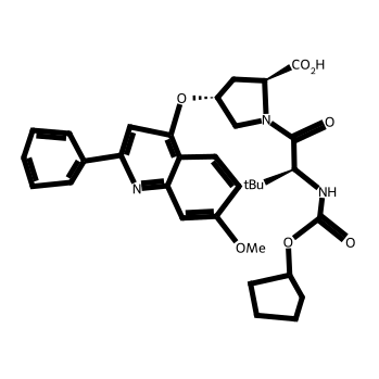 COc1ccc2c(O[C@@H]3C[C@@H](C(=O)O)N(C(=O)[C@@H](NC(=O)OC4CCCC4)C(C)(C)C)C3)cc(-c3ccccc3)nc2c1